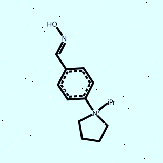 CC(C)[N+]1(c2ccc(C=NO)cc2)CCCC1